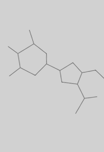 CCC1CC(C2CC(C)C(C)C(C)C2)CC1C(C)C